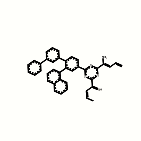 C=C/C=C(\N)c1nc(C(=N)/C=C\C)nc(-c2ccc(-c3cccc(-c4ccccc4)c3)c(-c3cccc4ccccc34)c2)n1